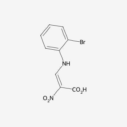 O=C(O)/C(=C\Nc1ccccc1Br)[N+](=O)[O-]